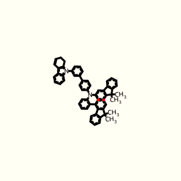 CC1(C)c2ccccc2-c2cc(N(c3ccc(-c4cccc(-n5c6c(c7ccccc75)C=CCC6)c4)cc3)c3ccccc3-c3cccc4c3-c3ccccc3C4(C)C)ccc21